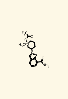 C[N+]1(OC(=O)C(F)(F)F)CCCC(n2cc3cccc(C(N)=O)c3n2)C1